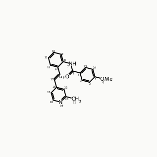 COc1ccc(C(=O)Nc2ccccc2C=Cc2ccnc(C)c2)cc1